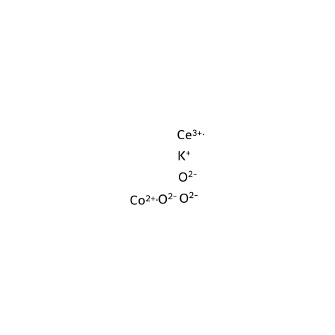 [Ce+3].[Co+2].[K+].[O-2].[O-2].[O-2]